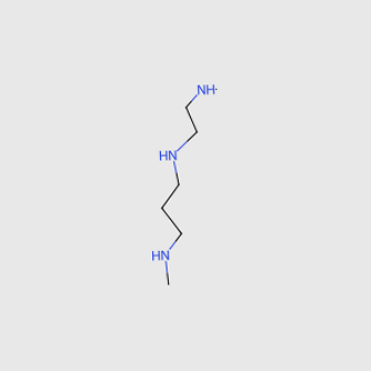 CNCCCNCC[NH]